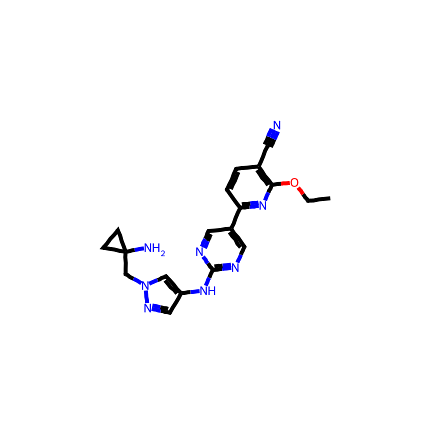 CCOc1nc(-c2cnc(Nc3cnn(CC4(N)CC4)c3)nc2)ccc1C#N